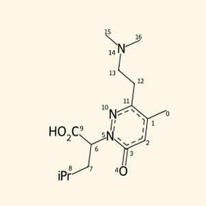 Cc1cc(=O)n(C(CC(C)C)C(=O)O)nc1CCN(C)C